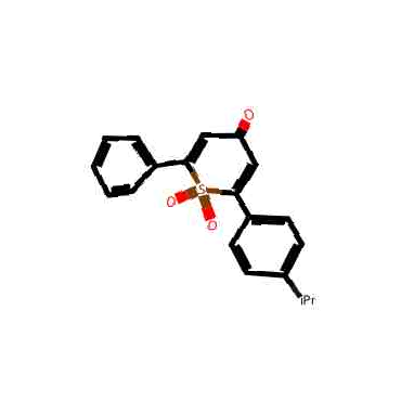 CC(C)c1ccc(C2=CC(=O)C=C(c3ccccc3)S2(=O)=O)cc1